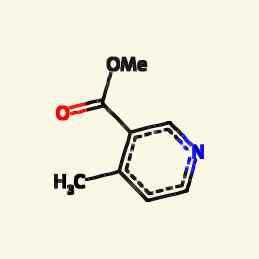 COC(=O)c1cnccc1C